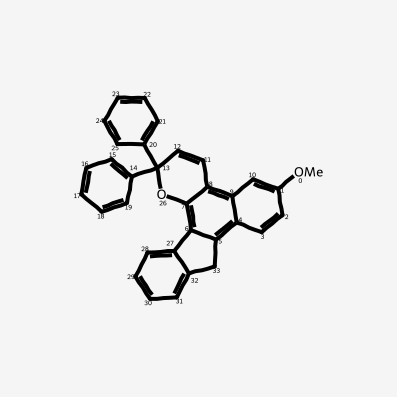 COc1ccc2c3c(c4c(c2c1)C=CC(c1ccccc1)(c1ccccc1)O4)-c1ccccc1C3